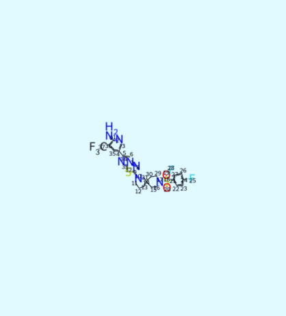 Nc1ncc(-c2cn3nc(N4CCCC5(CCN(S(=O)(=O)c6ccc(F)cc6F)CC5)C4)sc3n2)cc1C(F)(F)F